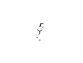 CC(C)(C)OC(=O)NCC1CNc2cc(C(F)(F)F)nn2C1